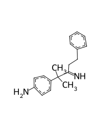 CC(C)(C(=N)CCc1ccccc1)c1ccc(N)cc1